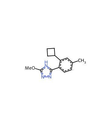 COc1nnc(-c2c[c]c(C)cc2C2CCC2)[nH]1